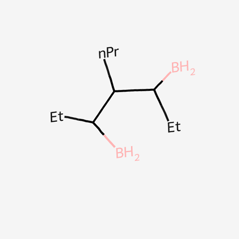 BC(CC)C(CCC)C(B)CC